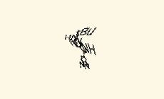 CC(C)(C)CNc1ncc2c(-c3ccc4ncncc4c3)c[nH]c2n1